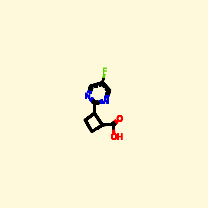 O=C(O)C1CCC1c1ncc(F)cn1